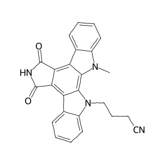 Cn1c2ccccc2c2c3c(c4c5ccccc5n(CCCC#N)c4c21)C(=O)NC3=O